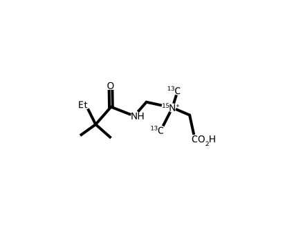 CCC(C)(C)C(=O)NC[15N+]([13CH3])([13CH3])CC(=O)O